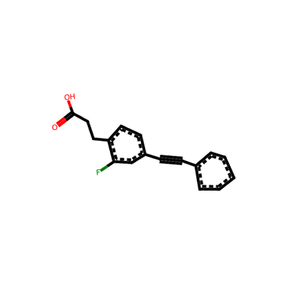 O=C(O)CCc1ccc(C#Cc2ccccc2)cc1F